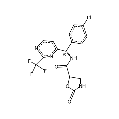 O=C1NCC(C(=O)N[C@H](c2ccc(Cl)cc2)c2ccnc(C(F)(F)F)n2)O1